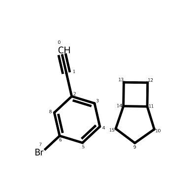 C#Cc1cccc(Br)c1.C1CC2CCC2C1